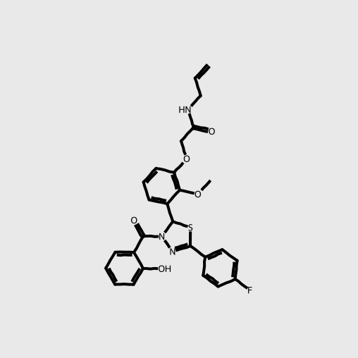 C=CCNC(=O)COc1cccc(C2SC(c3ccc(F)cc3)=NN2C(=O)c2ccccc2O)c1OC